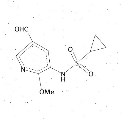 COc1ncc(C=O)cc1NS(=O)(=O)C1CC1